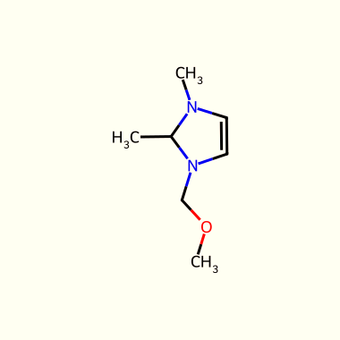 COCN1C=CN(C)C1C